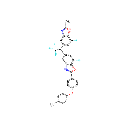 Cc1ccc(Oc2ccc(-c3nc4cc(C(c5cc(F)c6oc(C)nc6c5)C(F)(F)F)cc(F)c4o3)cc2)cc1